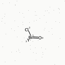 [O]=[Bi][Cl].[Y]